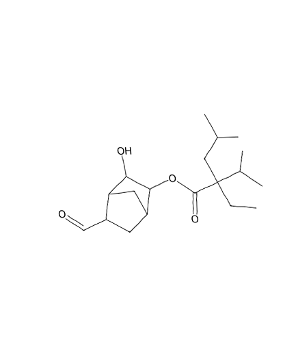 CCC(CC(C)C)(C(=O)OC1C2CC(C=O)C(C2)C1O)C(C)C